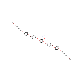 C=CC(=O)OCCCCCCOc1ccc(OC(=O)C2CCC(C(=O)Oc3ccc(OC(=O)C4CCC(C(=O)Oc5ccc(OCCCCCCOC(=O)C=C)c(C)c5)CC4)c(C(=O)N(C)C)c3)CC2)cc1